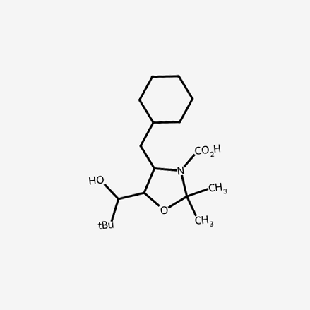 CC(C)(C)C(O)C1OC(C)(C)N(C(=O)O)C1CC1CCCCC1